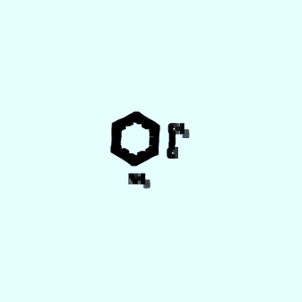 CCl.N.c1ccccc1